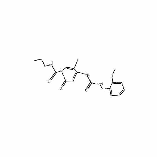 CCCNC(=O)n1cc(F)c(NC(=O)NCc2ccccc2OC)nc1=O